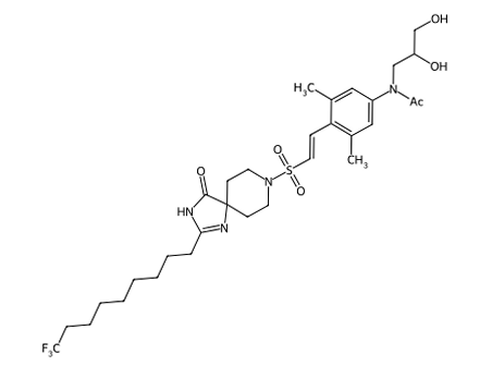 CC(=O)N(CC(O)CO)c1cc(C)c(C=CS(=O)(=O)N2CCC3(CC2)N=C(CCCCCCCCC(F)(F)F)NC3=O)c(C)c1